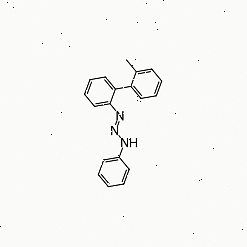 Cc1ccccc1-c1ccccc1N=NNc1ccccc1